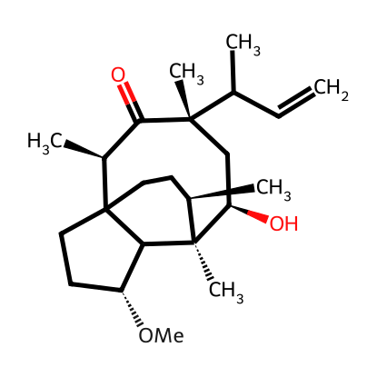 C=CC(C)[C@]1(C)C[C@@H](O)[C@@]2(C)C3[C@H](OC)CCC3(CC[C@H]2C)[C@@H](C)C1=O